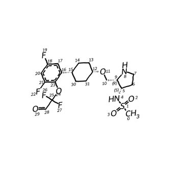 CS(=O)(=O)N[C@H]1CCN[C@H]1CO[C@H]1CC[C@@H](c2cc(F)cc(F)c2OC(F)(F)C=O)CC1